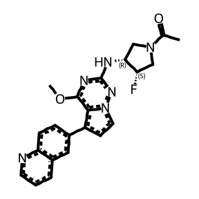 COc1nc(N[C@@H]2CN(C(C)=O)C[C@@H]2F)nn2ccc(-c3ccc4ncccc4c3)c12